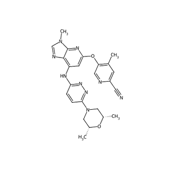 Cc1cc(C#N)ncc1Oc1cc(Nc2ccc(N3C[C@@H](C)O[C@@H](C)C3)nn2)c2ncn(C)c2n1